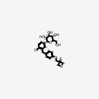 OCC1O[C@@H](c2ccc(Cl)c(Cc3ccc(OCC4(F)COC4)cc3)c2)[C@H](O)[C@@H](O)[C@@H]1O